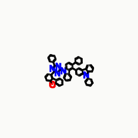 c1ccc(-c2nc(-c3cccc4oc5ccccc5c34)nc(-n3c4ccccc4c4c(-c5ccc6c(c5)c5ccccc5n6-c5ccccc5)c(-c5ccccc5)ccc43)n2)cc1